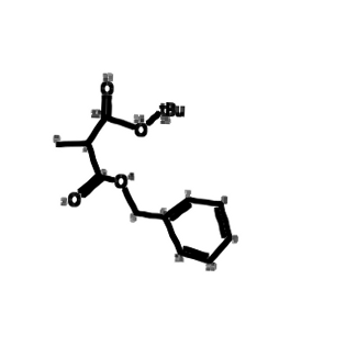 CC(C(=O)OCc1ccccc1)C(=O)OC(C)(C)C